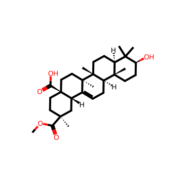 COC(=O)[C@@]1(C)CC[C@]2(C(=O)O)CC[C@]3(C)C(=CC[C@@H]4[C@@]5(C)CC[C@H](O)C(C)(C)[C@@H]5CC[C@]43C)[C@@H]2C1